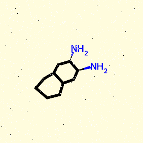 N[C@H]1CC2CCCCC2C[C@@H]1N